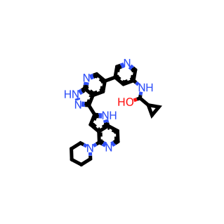 OC(Nc1cncc(-c2cnc3[nH]nc(-c4cc5c(N6CCCCC6)nccc5[nH]4)c3c2)c1)C1CC1